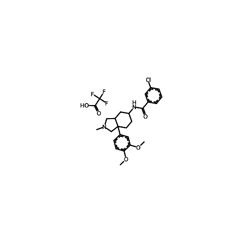 COc1ccc(C23CCC(NC(=O)c4cccc(Cl)c4)CC2CN(C)C3)cc1OC.O=C(O)C(F)(F)F